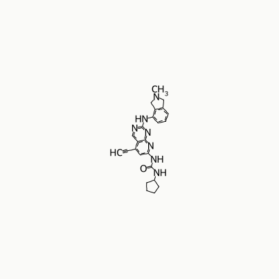 C#Cc1cc(NC(=O)NC2CCCC2)nc2nc(Nc3cccc4c3CN(C)C4)ncc12